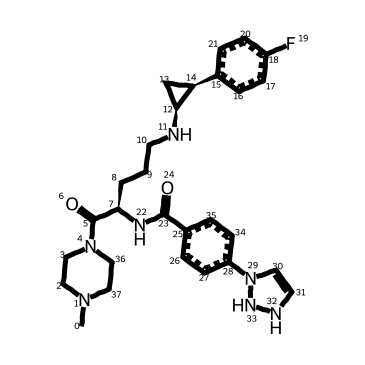 CN1CCN(C(=O)[C@@H](CCCN[C@H]2C[C@H]2c2ccc(F)cc2)NC(=O)c2ccc(N3C=CNN3)cc2)CC1